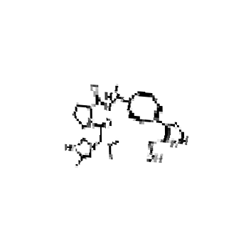 CC1=CN([C@H](C(=O)N2CCC[C@H]2C(=O)NC(C)C2C=CC=C(c3snnc3CO)C=C2)C(C)C)CN1